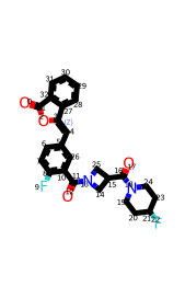 O=C1O/C(=C\c2ccc(F)c(C(=O)N3CC(C(=O)N4CCC(F)CC4)C3)c2)c2ccccc21